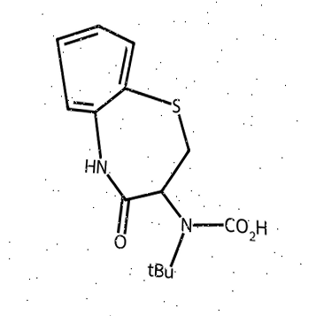 CC(C)(C)N(C(=O)O)C1CSc2ccccc2NC1=O